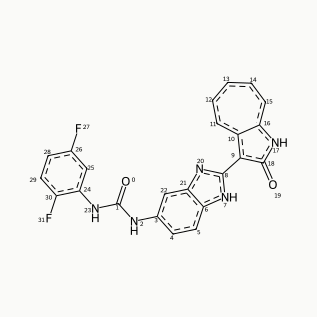 O=C(Nc1ccc2[nH]c(-c3c4cccccc-4[nH]c3=O)nc2c1)Nc1cc(F)ccc1F